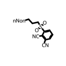 CCCCCCCCCCCCS(=O)(=O)c1cccc(C#N)c1C#N